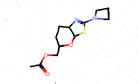 CC(=O)OCC1[C][C]C2N=C(N3CCC3)SC2O1